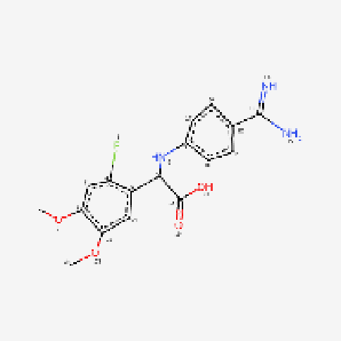 COc1cc(F)c(C(Nc2ccc(C(=N)N)cc2)C(=O)O)cc1OC